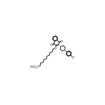 CCOC(=O)CCCCCCCCCCOC1=C([C@H]2CC[C@H](c3ccc(Cl)cc3)CC2)C(=O)c2ccccc2C1=O